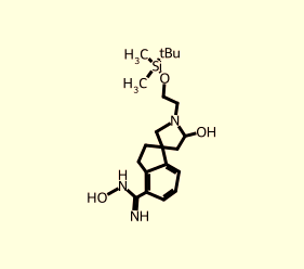 CC(C)(C)[Si](C)(C)OCCN1CC2(CCc3c(C(=N)NO)cccc32)CC1O